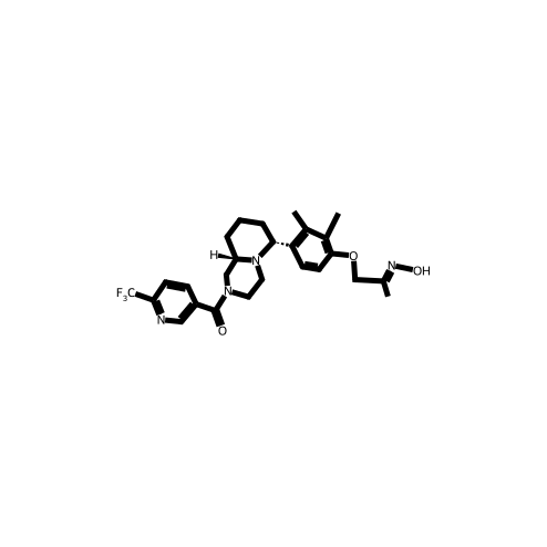 CC(COc1ccc([C@H]2CCC[C@H]3CN(C(=O)c4ccc(C(F)(F)F)nc4)CCN32)c(C)c1C)=NO